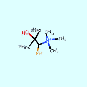 CCCCCCC(O)(CCCCCC)C([PH-])[N+](C)(C)C